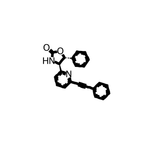 O=C1N[C@H](c2cccc(C#Cc3ccccc3)n2)[C@@H](c2ccccc2)O1